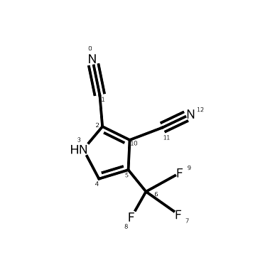 N#Cc1[nH]cc(C(F)(F)F)c1C#N